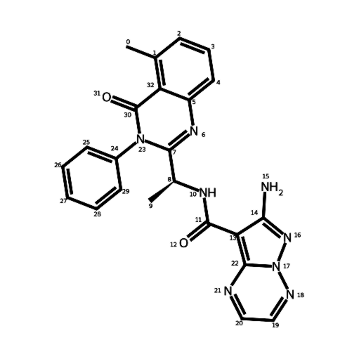 Cc1cccc2nc([C@H](C)NC(=O)c3c(N)nn4nccnc34)n(-c3ccccc3)c(=O)c12